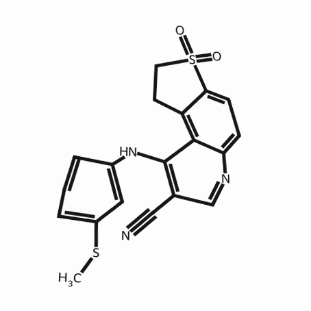 CSc1cccc(Nc2c(C#N)cnc3ccc4c(c23)CCS4(=O)=O)c1